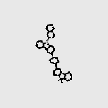 CC1(C)c2ccccc2-c2cc(-c3ccc(-c4ccc5c(c4)c4ccccc4n5-c4ccc5ccccc5c4)cc3)ccc21